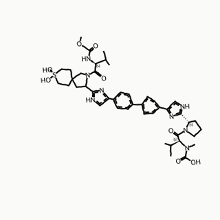 COC(=O)N[C@H](C(=O)N1CC2(CCS(O)(O)CC2)CC1c1nc(-c2ccc(-c3ccc(-c4c[nH]c([C@@H]5CCCN5C(=O)[C@H](C(C)C)N(C)C(=O)O)n4)cc3)cc2)c[nH]1)C(C)C